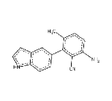 Cc1cnc(N)c(C#N)c1-c1ccc2[nH]ccc2c1